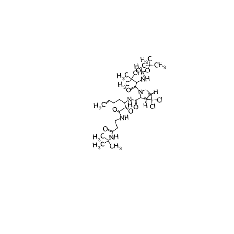 C=CCCC(NC(=O)C1[C@@H]2[C@H](CN1C(=O)C(NC(=O)OC(C)(C)C)C(C)(C)C)C2(Cl)Cl)C(=O)C(=O)NCCC(=O)NC(C)(C)C